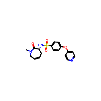 CN1CC=CC[C@@H](NS(=O)(=O)c2ccc(Oc3ccncc3)cc2)C1=O